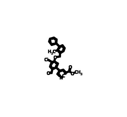 COC(=O)c1cncc(-c2cc(OCc3cccc(-c4ccccc4)c3C)c(Cl)cc2C=O)c1